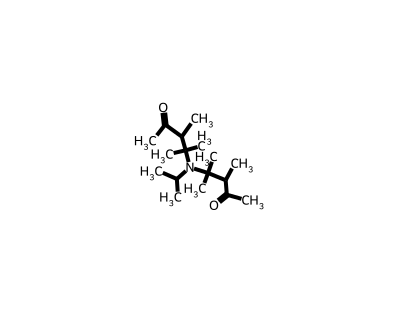 CC(=O)C(C)C(C)(C)N(C(C)C)C(C)(C)C(C)C(C)=O